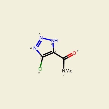 CNC(=O)c1[nH]nnc1Cl